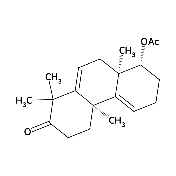 CC(=O)O[C@@H]1CCC=C2[C@@]3(C)CCC(=O)C(C)(C)C3=CC[C@]21C